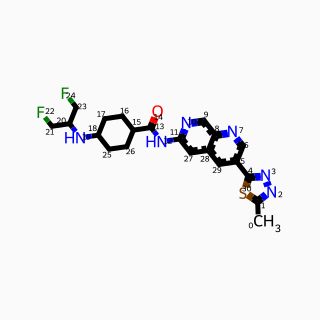 Cc1nnc(-c2cnc3cnc(NC(=O)C4CCC(NC(CF)CF)CC4)cc3c2)s1